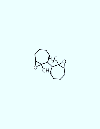 CC12OC1CCCCC2C1CCCCC2OC21C